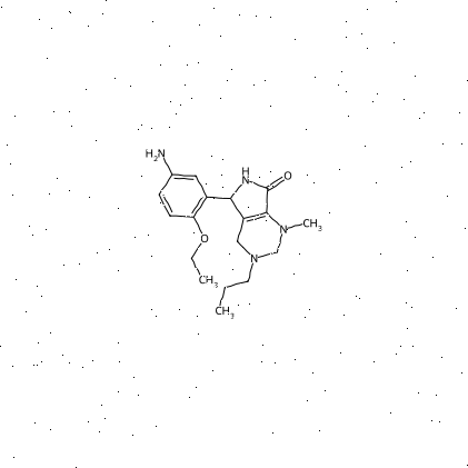 CCCN1CC2=C(C(=O)NC2c2cc(N)ccc2OCC)N(C)C1